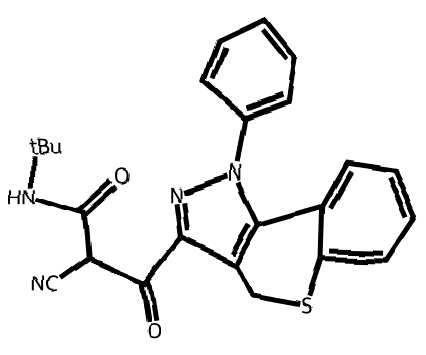 CC(C)(C)NC(=O)C(C#N)C(=O)c1nn(-c2ccccc2)c2c1CSc1ccccc1-2